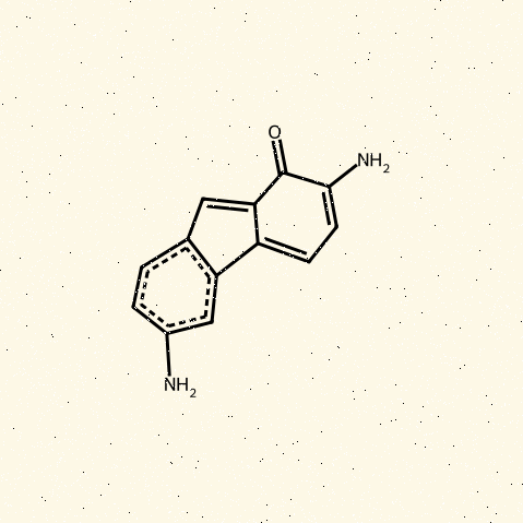 NC1=CC=C2C(=Cc3ccc(N)cc32)C1=O